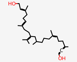 CC(=C=CO)CCC=C(C)CCCC(C)CC(CCC(C)=CCCC(C)=CCO)=C(C)C